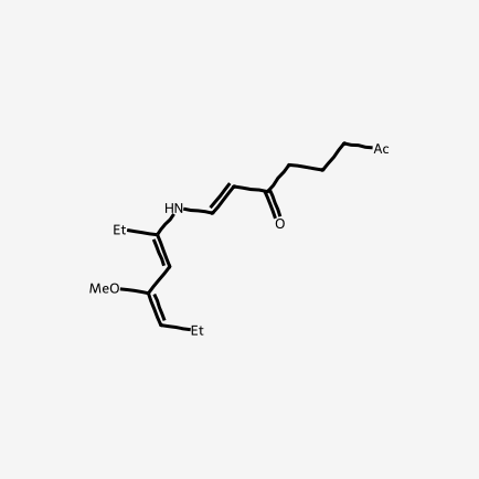 CC/C=C(\C=C(/CC)N/C=C/C(=O)CCCC(C)=O)OC